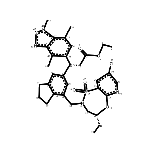 CCOC(=O)C[C@H](c1cc2c(c(CN3C[C@@H](CC)Oc4ncc(Cl)cc4S3(=O)=O)c1)CCC2)c1cc(C)c2c(nnn2C)c1C